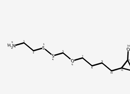 NCCSSCOCCCCC1OC1O